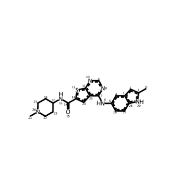 Cc1cc2cc(Nc3ncnc4sc(C(=O)NC5CCN(C)CC5)cc34)ccc2[nH]1